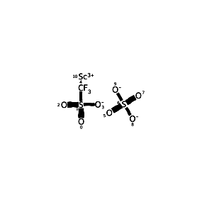 O=S(=O)([O-])C(F)(F)F.O=S(=O)([O-])[O-].[Sc+3]